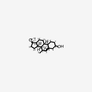 CC1C=C2CC(O)CC[C@]2(CO)[C@@H]2CC[C@]3(C)C(=O)CC[C@H]3[C@H]12